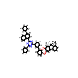 CC1(C)c2ccccc2-c2cc3c(cc21)Oc1c(cccc1-c1cccc(-c2nc(-c4ccccc4)nc(-c4ccc(-c5ccccc5)c5ccccc45)n2)c1)O3